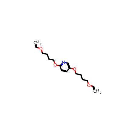 C=COCCCCOc1ccc(OCCCCOC=C)nc1